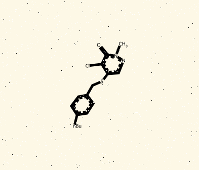 CCCCc1ccc(CSc2cnn(C)c(=O)c2Cl)cc1